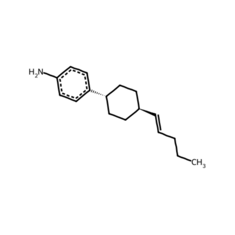 CCCC=C[C@H]1CC[C@H](c2ccc(N)cc2)CC1